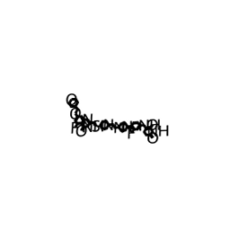 O=C1CCC(Nc2ccc(N3CCN(CCN4CCC(SCc5nc6cc(OCC7CCOCC7)cc(F)c6c(=O)[nH]5)CC4)CC3)c(F)c2)C(=O)N1